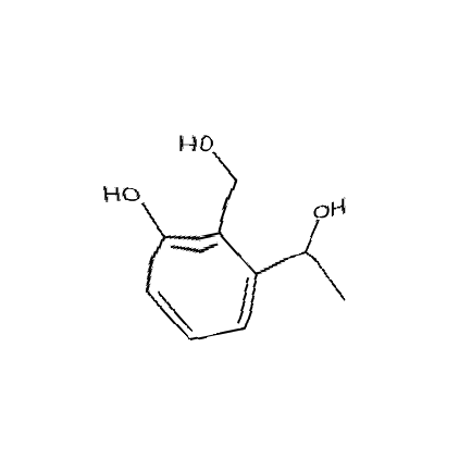 CC(O)c1cccc(O)c1CO